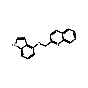 c1ccc2nc(COc3cccc4[nH]ccc34)ccc2c1